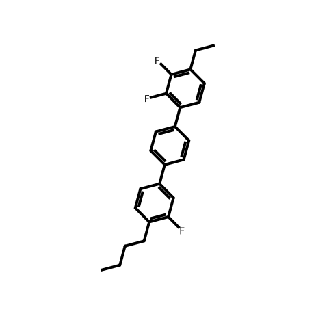 CCCCc1ccc(-c2ccc(-c3ccc(CC)c(F)c3F)cc2)cc1F